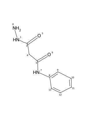 NNC(=O)CC(=O)Nc1ccccc1